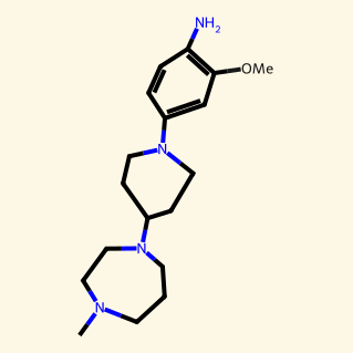 COc1cc(N2CCC(N3CCCN(C)CC3)CC2)ccc1N